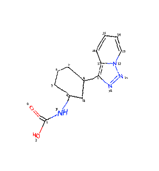 O=C(O)NC1CCCC(c2nnn3ccccc23)C1